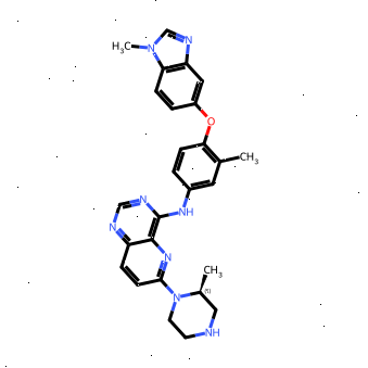 Cc1cc(Nc2ncnc3ccc(N4CCNC[C@@H]4C)nc23)ccc1Oc1ccc2c(c1)ncn2C